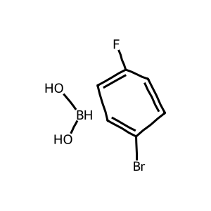 Fc1ccc(Br)cc1.OBO